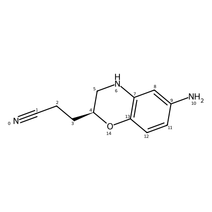 N#CCC[C@H]1CNc2cc(N)ccc2O1